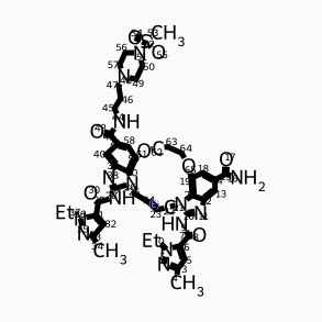 CCn1nc(C)cc1C(=O)Nc1nc2cc(C(N)=O)cc3c2n1C/C=C/Cn1c(NC(=O)c2cc(C)nn2CC)nc2cc(C(=O)NCCCN4CCN(S(C)(=O)=O)CC4)cc(c21)OCCCO3